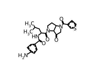 CC(C)CC(NC(=O)c1ccc(N)cc1)C(=O)N1CCC2C1C(=O)CN2C(=O)c1ccsc1